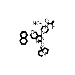 C=C(F)C(=O)N1CCN(c2nc(OCC34CCCN3CCC4)nc3c2CO[C@@H](c2cccc4c2CCCC4)C3)C[C@@H]1CC#N